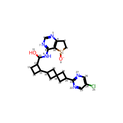 [O-][S+]1CCc2ncnc(NC(O)C3CCC3C3CC4(CC(c5ncc(Cl)cn5)C4)C3)c21